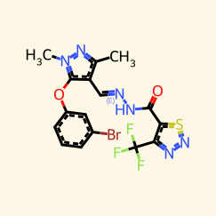 Cc1nn(C)c(Oc2cccc(Br)c2)c1/C=N/NC(=O)c1snnc1C(F)(F)F